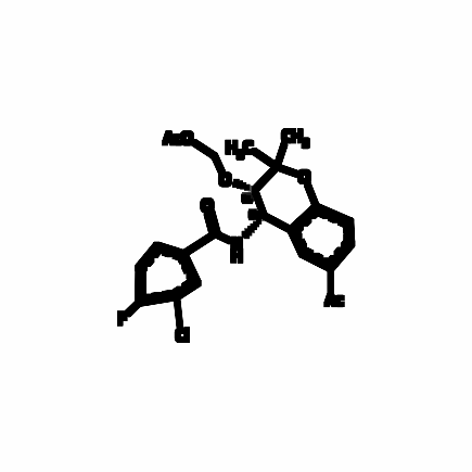 CC(=O)OCO[C@H]1[C@@H](NC(=O)c2ccc(F)c(Cl)c2)c2cc(C(C)=O)ccc2OC1(C)C